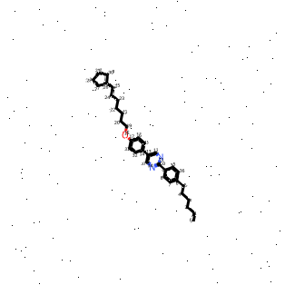 CCCCCCc1ccc(-c2ncc(-c3ccc(OCCCCCCCC4CCCC4)cc3)cn2)cc1